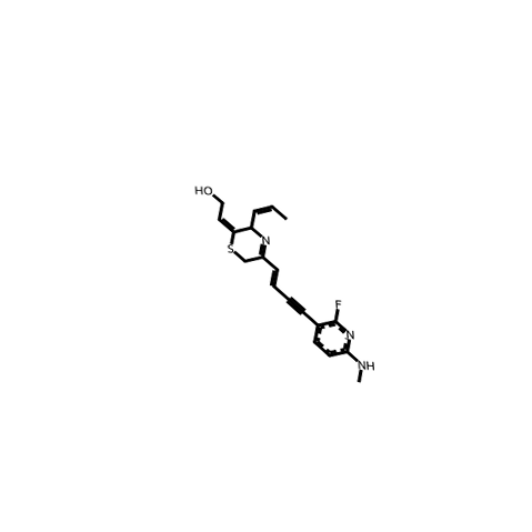 C/C=C\C1N=C(/C=C/C#Cc2ccc(NC)nc2F)CS/C1=C/CO